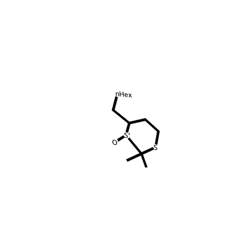 CCCCCCCC1CCSC(C)(C)[S+]1[O-]